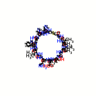 CC[C@H](C)[C@@H]1NC(=O)CNC(=O)[C@H](CCCCN)NC(=O)[C@H](CCC(=O)O)NC(=O)[C@H]([C@@H](C)O)NC(=O)CNC(=O)[C@H]([C@@H](C)CC)NC(=O)[C@H]([C@@H](C)CC)NC(=O)CNC(=O)CSCCNC(=O)[C@H](Cc2cnc[nH]2)NC(=O)[C@H](Cc2cnc[nH]2)NC(=O)CNC(=O)[C@H](Cc2c[nH]c3ccccc23)NC1=O